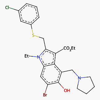 CCOC(=O)c1c(CSc2cccc(Cl)c2)n(CC)c2cc(Br)c(O)c(CN3CCCC3)c12